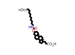 CCCCCCCC/C=C\CCCCCCCCNC(=O)O[C@@H]1CC[C@@]2(C)C(CCC3C2CC[C@]2(C)C(CCC(=O)O)CCC32)C1